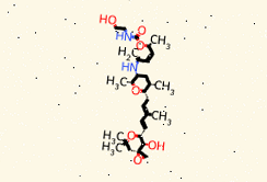 C=C(/C=C\[C@H](C)OC(=O)NCCO)N[C@@H]1C[C@H](C)[C@H](C/C=C(C)/C=C/[C@H]2OC(C)(C)C[C@@]3(CO3)[C@@H]2O)O[C@@H]1C